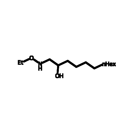 CCCCCCCCCCC(O)CNOCC